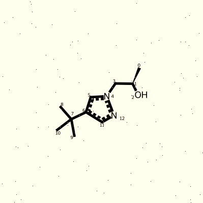 C[C@@H](O)Cn1cc(C(C)(C)C)cn1